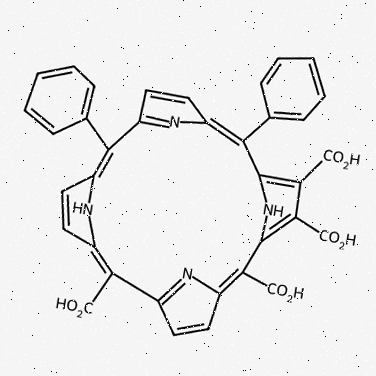 O=C(O)c1c2nc(c(C(=O)O)c3[nH]c(c(C(=O)O)c3C(=O)O)c(-c3ccccc3)c3nc(c(-c4ccccc4)c4ccc1[nH]4)C=C3)C=C2